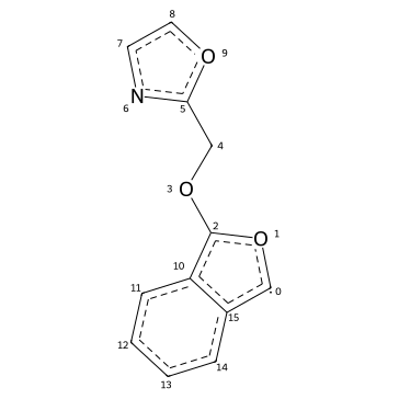 [c]1oc(OCc2ncco2)c2ccccc12